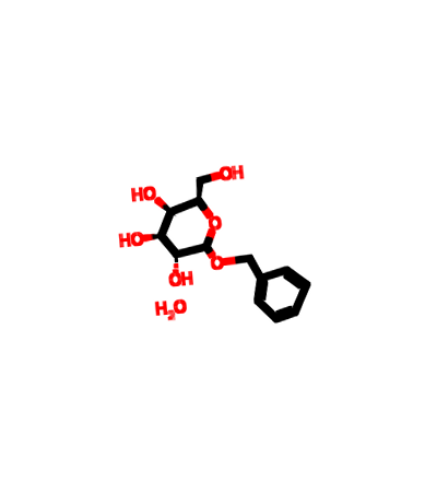 O.OC[C@H]1OC(OCc2ccccc2)[C@H](O)[C@@H](O)[C@H]1O